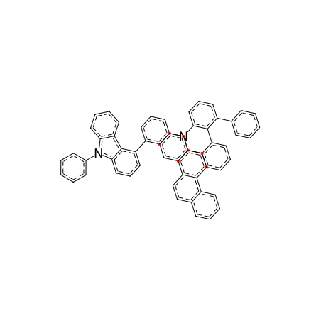 c1ccc(-c2ccccc2-c2c(-c3ccccc3)cccc2N(c2cccc(-c3cccc4c3c3ccccc3n4-c3ccccc3)c2)c2ccc3c(ccc4ccccc43)c2)cc1